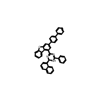 c1ccc(C2=NC(c3cc(-c4ccc(-c5ccccc5)cc4)cc4oc5ccccc5c34)=NC(c3cccc4ccccc34)N2)cc1